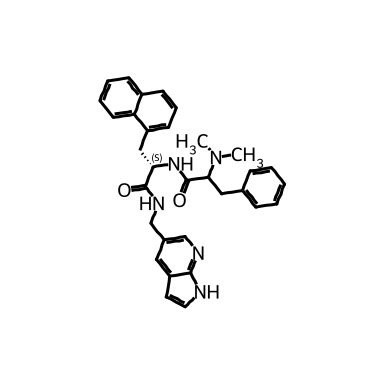 CN(C)C(Cc1ccccc1)C(=O)N[C@@H](Cc1cccc2ccccc12)C(=O)NCc1cnc2[nH]ccc2c1